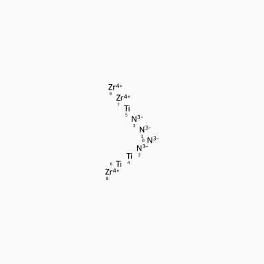 [N-3].[N-3].[N-3].[N-3].[Ti].[Ti].[Ti].[Zr+4].[Zr+4].[Zr+4]